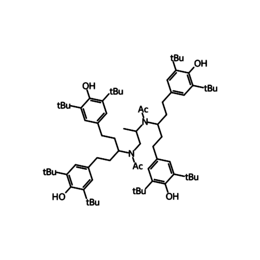 CC(=O)N(CC(C)N(C(C)=O)C(CCc1cc(C(C)(C)C)c(O)c(C(C)(C)C)c1)CCc1cc(C(C)(C)C)c(O)c(C(C)(C)C)c1)C(CCc1cc(C(C)(C)C)c(O)c(C(C)(C)C)c1)CCc1cc(C(C)(C)C)c(O)c(C(C)(C)C)c1